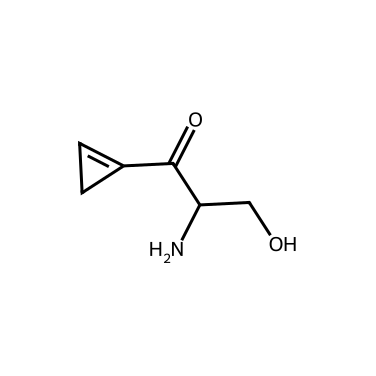 NC(CO)C(=O)C1=CC1